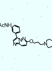 CC(=O)Nc1cccc(-c2cnc3ccc(OCCCN4CCCCC4)nn23)c1